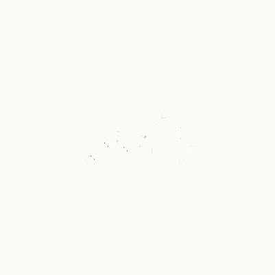 C=C[C@](COC(=O)C(C)C)(O[C@H](CF)n1ccc(N)nc1=O)[C@H](F)OC(=O)C(C)C